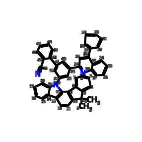 CC1(C)c2ccccc2-c2c1ccc1c3ccccc3n(-c3cc(-c4cc(-c5ccccc5)c5ccccc5n4)cc(-c4ccccc4C#N)c3)c21